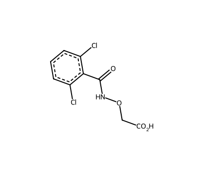 O=C(O)CONC(=O)c1c(Cl)cccc1Cl